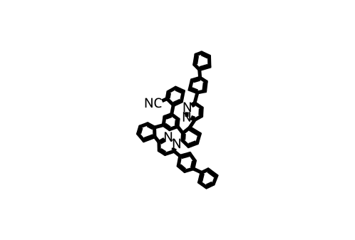 N#Cc1ccccc1-c1cc(-c2ccccc2-c2ccc(-c3ccc(-c4ccccc4)cc3)nn2)cc(-c2ccccc2-c2ccc(-c3ccc(-c4ccccc4)cc3)nn2)c1